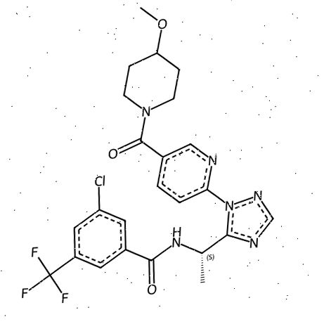 COC1CCN(C(=O)c2ccc(-n3ncnc3[C@H](C)NC(=O)c3cc(Cl)cc(C(F)(F)F)c3)nc2)CC1